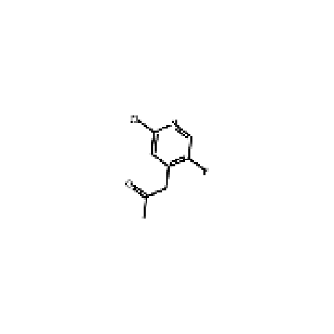 CC(=O)Cc1cc(Cl)ncc1F